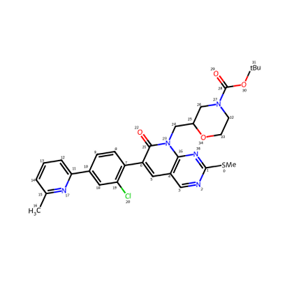 CSc1ncc2cc(-c3ccc(-c4cccc(C)n4)cc3Cl)c(=O)n(CC3CN(C(=O)OC(C)(C)C)CCO3)c2n1